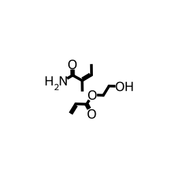 C=CC(=O)OCCO.CC=C(C)C(N)=O